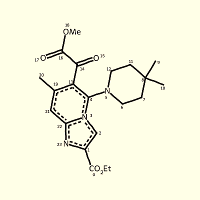 CCOC(=O)c1cn2c(N3CCC(C)(C)CC3)c(C(=O)C(=O)OC)c(C)cc2n1